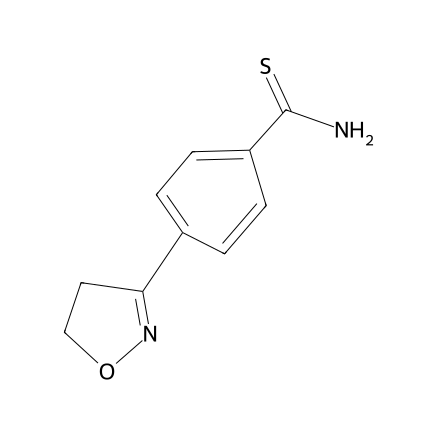 NC(=S)c1ccc(C2=NOCC2)cc1